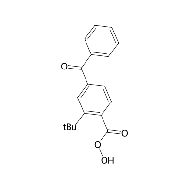 CC(C)(C)c1cc(C(=O)c2ccccc2)ccc1C(=O)OO